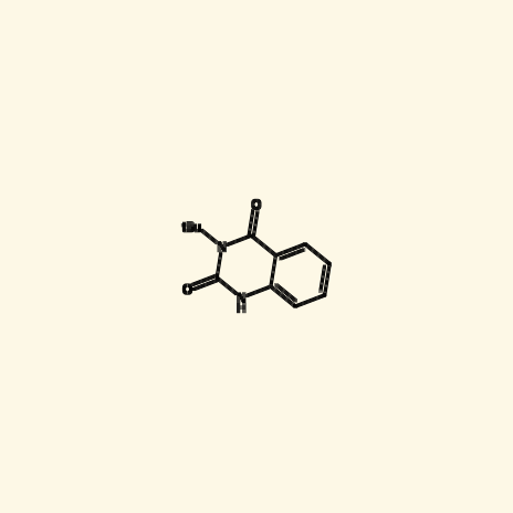 CC(C)(C)n1c(=O)[nH]c2ccccc2c1=O